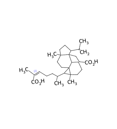 C=C(C)C1CCC2(C)CCC34C(C(C)CC/C=C(/C)C(=O)O)C3(C)CCCC4C12CCC(=O)O